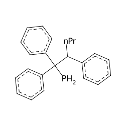 CCCC(c1ccccc1)C(P)(c1ccccc1)c1ccccc1